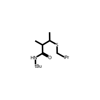 CC(C)CSC(C)C(C)C(=O)NC(C)(C)C